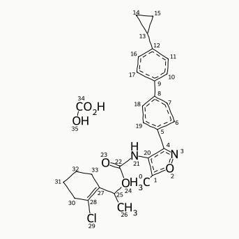 Cc1onc(-c2ccc(-c3ccc(C4CC4)cc3)cc2)c1NC(=O)OC(C)C1=C(Cl)CCCC1.O=C(O)O